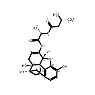 C[C@H](OC(=O)C[C@H](N)C(=O)O)C(=O)OC1=CC[C@@]2(O)[C@@H]3CCC[C@@]24c2c(ccc(O)c2O[C@@H]14)C3